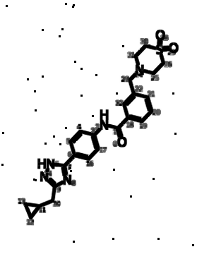 O=C(Nc1ccc(-c2nc(CC3CC3)n[nH]2)cc1)c1cccc(CN2CCS(=O)(=O)CC2)c1